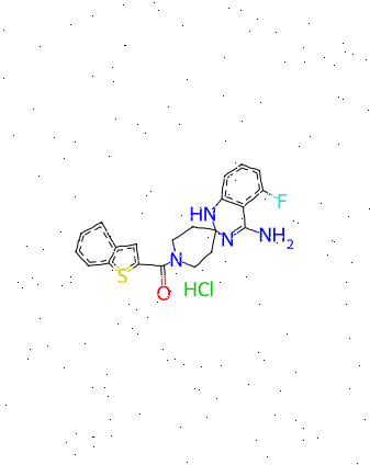 Cl.NC1=NC2(CCN(C(=O)c3cc4ccccc4s3)CC2)Nc2cccc(F)c21